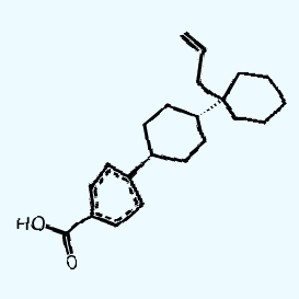 C=CCC1([C@H]2CC[C@H](c3ccc(C(=O)O)cc3)CC2)CCCCC1